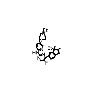 CCN1CCN(c2ccc(Nc3ncc(F)c(-c4ccc5c(c4)C(C)(CC)C(C)=C5)n3)nc2)CC1